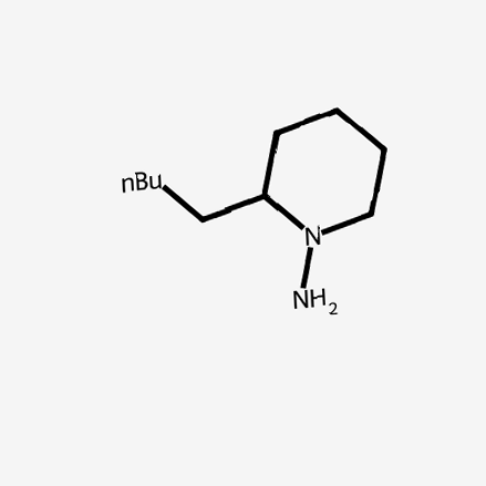 CCCCCC1CCCCN1N